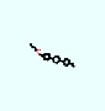 C=Cc1ccc(C2CCC(c3ccc(COCC=CC)cc3)CC2)cc1